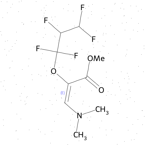 COC(=O)/C(=C\N(C)C)OC(F)(F)C(F)C(F)F